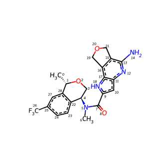 C[C@@H]1OC[C@@H](N(C)C(=O)c2cc3nc(N)c4c(c3[nH]2)COC4)c2ccc(C(F)(F)F)cc21